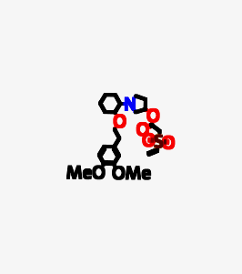 C=CS(=O)(=O)CC(=O)O[C@@H]1CCN([C@@H]2CCCC[C@H]2OCCc2ccc(OC)c(OC)c2)C1